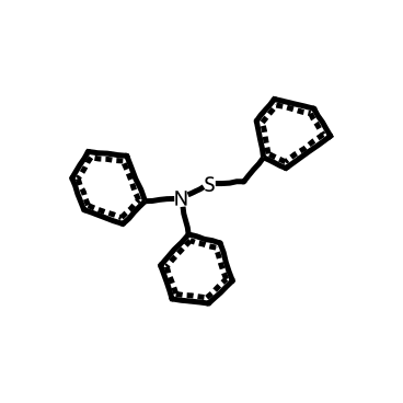 c1ccc(CSN(c2ccccc2)c2ccccc2)cc1